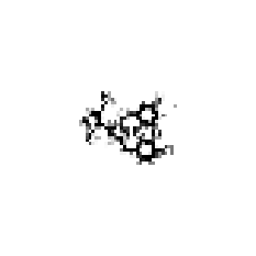 Cc1ncn(C)c1-c1nnc(Cc2ccc(Cl)c(Oc3cc(N)cc(Cl)c3)c2F)o1